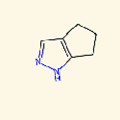 c1n[nH]c2c1CCC2